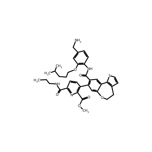 CCCNC(=O)c1ccc(-c2cc3c(cc2C(=O)Nc2ccc(CN)cc2OCCCC(C)C)-c2sccc2CCO3)c(C(=O)OC)n1